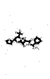 CC(NC(=O)c1nn2c(C(F)(F)F)cc(-c3cccs3)nc2c1Br)c1ccccc1